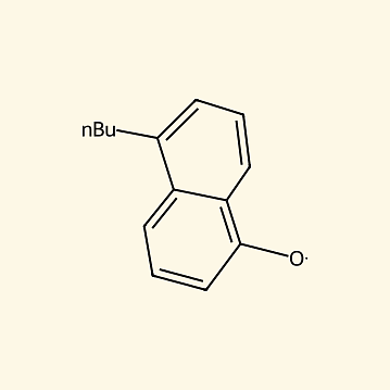 CCCCc1cccc2c([O])cccc12